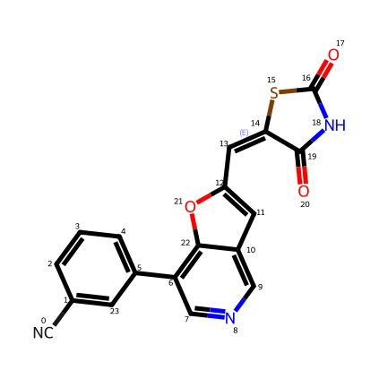 N#Cc1cccc(-c2cncc3cc(/C=C4/SC(=O)NC4=O)oc23)c1